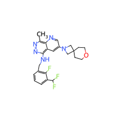 Cc1nnc(NCc2cccc(C(F)F)c2F)c2cc(N3CC4(CCOCC4)C3)cnc12